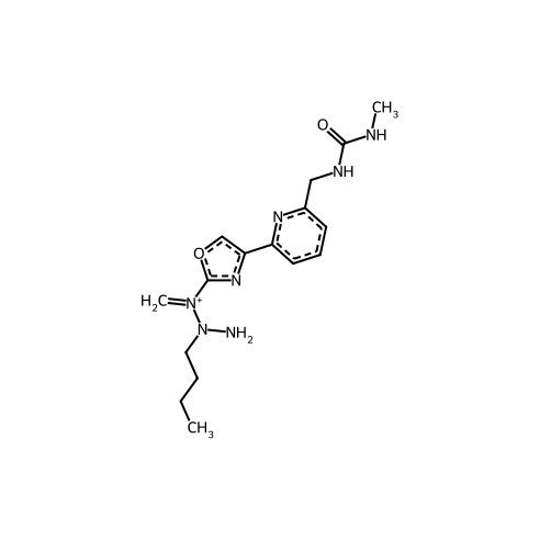 C=[N+](c1nc(-c2cccc(CNC(=O)NC)n2)co1)N(N)CCCC